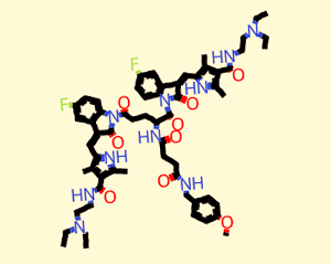 CCN(CC)CCNC(=O)c1c(C)[nH]c(/C=C2\C(=O)N(C(=O)CCC(NC(=O)CCC(=O)NCc3ccc(OC)cc3)C(=O)N3C(=O)/C(=C\c4[nH]c(C)c(C(=O)NCCN(CC)CC)c4C)c4cc(F)ccc43)c3ccc(F)cc32)c1C